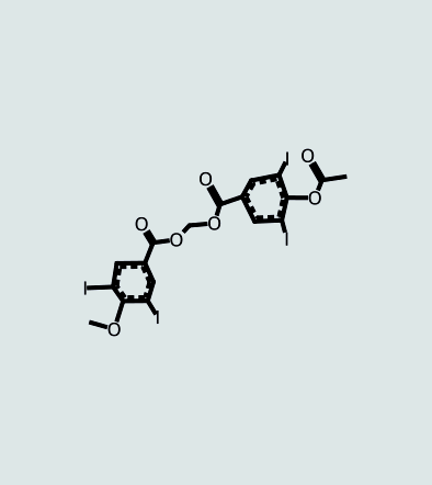 COc1c(I)cc(C(=O)OCOC(=O)c2cc(I)c(OC(C)=O)c(I)c2)cc1I